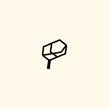 C=C1[C]2CC3CC(C2)CC1C3